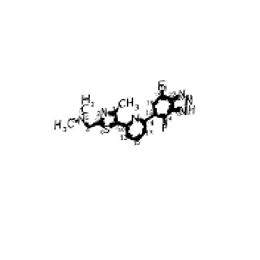 Cc1nc(CN(C)C)sc1-c1cccc(-c2cc(F)c3nn[nH]c3c2F)n1